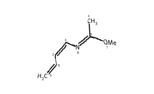 C=C/C=C\N=C(/C)OC